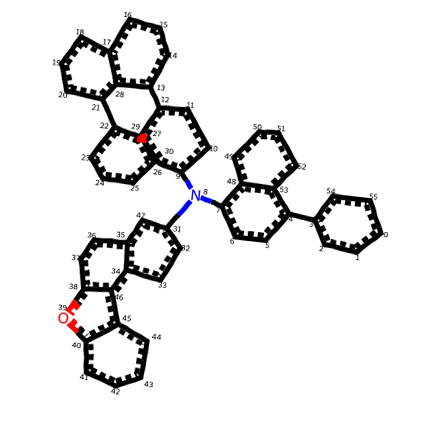 c1ccc(-c2ccc(N(c3ccc(-c4cccc5cccc(-c6ccccc6)c45)cc3)c3ccc4c(ccc5oc6ccccc6c54)c3)c3ccccc23)cc1